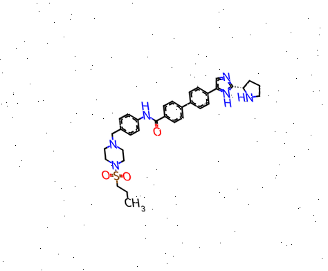 CCCS(=O)(=O)N1CCN(Cc2ccc(NC(=O)c3ccc(-c4ccc(-c5cnc([C@@H]6CCCN6)[nH]5)cc4)cc3)cc2)CC1